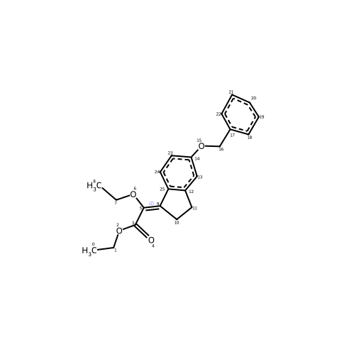 CCOC(=O)/C(OCC)=C1\CCc2cc(OCc3ccccc3)ccc21